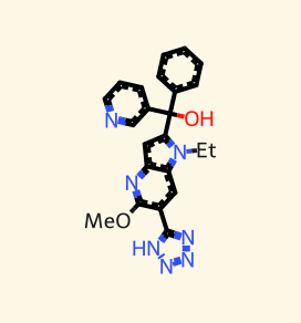 CCn1c(C(O)(c2ccccc2)c2cccnc2)cc2nc(OC)c(-c3nnn[nH]3)cc21